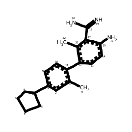 Cc1cc(C2CCCC2)ccc1-c1ccc(N)c(C(=N)N)c1C